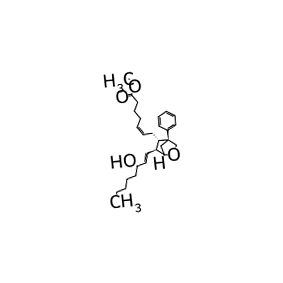 CCCCC[C@@H](O)/C=C/[C@@H]1[C@@H]2C[C@@](c3ccccc3)(CO2)[C@H]1C/C=C\CCCC(=O)OC